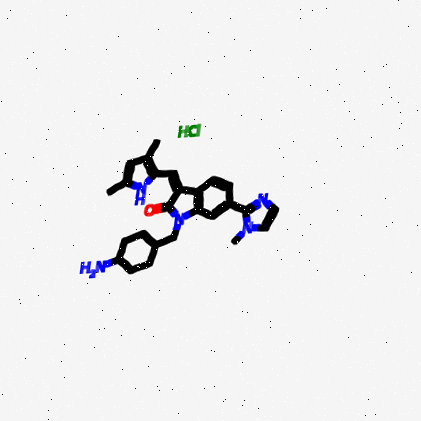 Cc1cc(C)c(/C=C2\C(=O)N(CC3CCC(N)CC3)c3cc(-c4nccn4C)ccc32)[nH]1.Cl